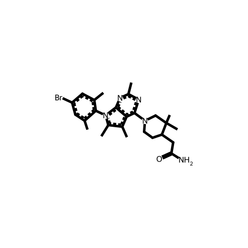 Cc1nc(N2CCC(CC(N)=O)C(C)(C)C2)c2c(C)c(C)n(-c3c(C)cc(Br)cc3C)c2n1